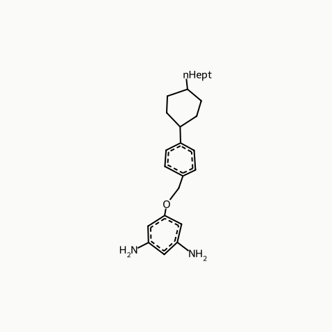 CCCCCCCC1CCC(c2ccc(COc3cc(N)cc(N)c3)cc2)CC1